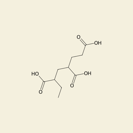 CCC(CC(CCC(=O)O)C(=O)O)C(=O)O